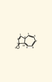 O=C1C=CC2C=CC=CC=C12